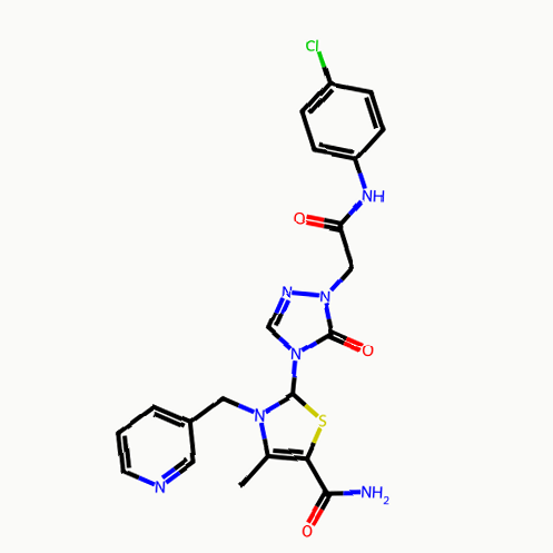 CC1=C(C(N)=O)SC(n2cnn(CC(=O)Nc3ccc(Cl)cc3)c2=O)N1Cc1cccnc1